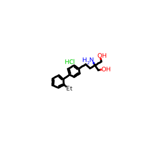 CCc1ccccc1-c1ccc(CCC(N)(CO)CO)cc1.Cl